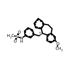 COc1ccc2c(c1)CCc1ccccc1[C@@H]2Cc1cccc(NS(C)(=O)=O)c1